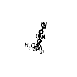 CC(C)(C)OC(=O)N1CCC(N(C(=O)c2ccc(-c3ccnnc3)cc2)C2CC2)CC1